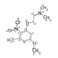 COc1cc(C)c([N+](=O)[O-])c(OCCN(C)C)c1